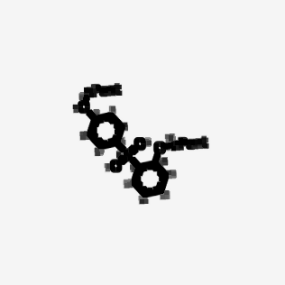 CCCCCOc1ccc(S(=O)(=O)c2ccccc2OCCCCC)cc1